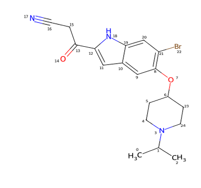 CC(C)N1CCC(Oc2cc3cc(C(=O)CC#N)[nH]c3cc2Br)CC1